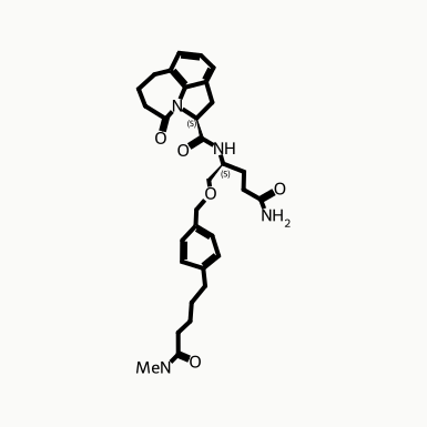 CNC(=O)CCCCc1ccc(COC[C@H](CCC(N)=O)NC(=O)[C@@H]2Cc3cccc4c3N2C(=O)CCC4)cc1